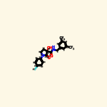 O=C(NCc1cc(C(F)(F)F)cc(C(F)(F)F)c1)[C@@]1(O)CCN(c2ccc(F)cc2)C1=O